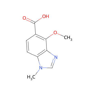 COc1c(C(=O)O)ccc2c1ncn2C